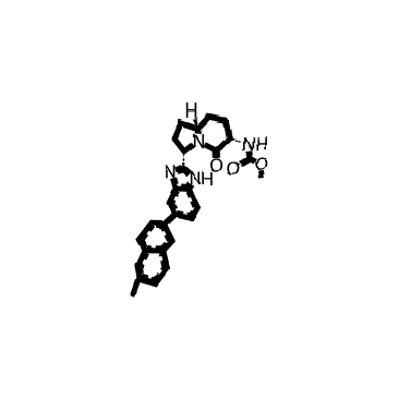 COC(=O)N[C@H]1CC[C@H]2CC[C@@H](c3nc4cc(-c5ccc6cc(C)ccc6c5)ccc4[nH]3)N2C1=O